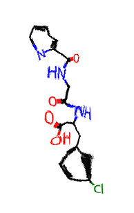 O=C(CNC(=O)c1ccccn1)NC(Cc1cccc(Cl)c1)C(=O)O